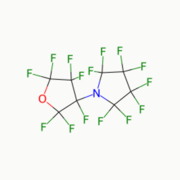 FC1(F)OC(F)(F)C(F)(N2C(F)(F)C(F)(F)C(F)(F)C2(F)F)C1(F)F